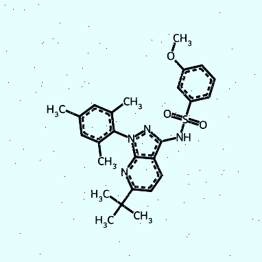 COc1cccc(S(=O)(=O)Nc2nn(-c3c(C)cc(C)cc3C)c3nc(C(C)(C)C)ccc23)c1